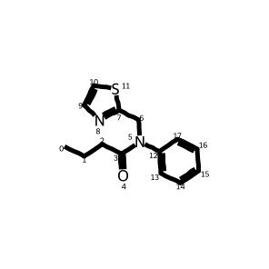 CCCC(=O)N(Cc1nccs1)c1ccccc1